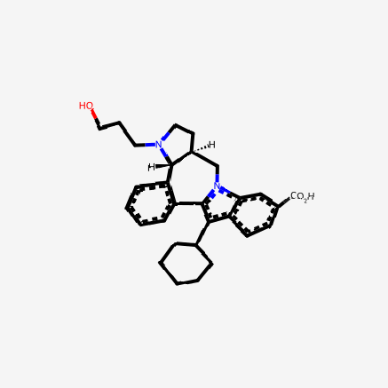 O=C(O)c1ccc2c(C3CCCCC3)c3n(c2c1)C[C@@H]1CCN(CCCO)[C@H]1c1ccccc1-3